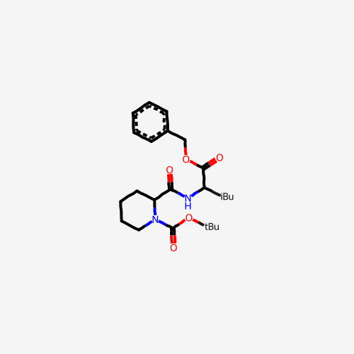 CCC(C)C(NC(=O)C1CCCCN1C(=O)OC(C)(C)C)C(=O)OCc1ccccc1